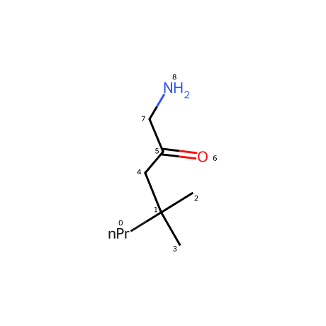 CCCC(C)(C)CC(=O)CN